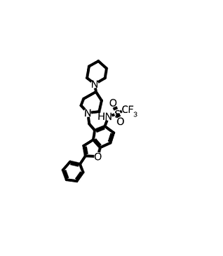 O=S(=O)(Nc1ccc2oc(-c3ccccc3)cc2c1CN1CCC(N2CCCCC2)CC1)C(F)(F)F